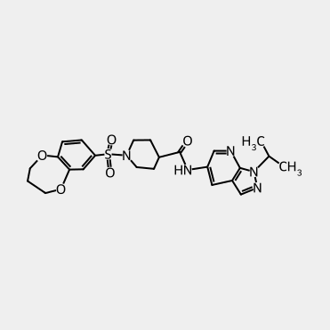 CC(C)n1ncc2cc(NC(=O)C3CCN(S(=O)(=O)c4ccc5c(c4)OCCCO5)CC3)cnc21